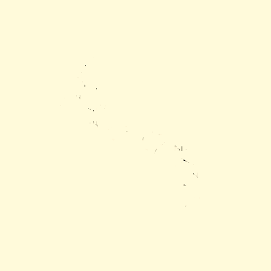 CC(C)(C)OC(=O)N1CCC[C@@H]1C(=O)Nc1ccc(-c2ccc(NC(=O)[C@H]3CCCN3C(=O)OC(C)(C)C)cc2)cc1